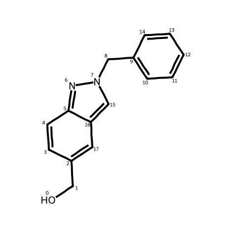 OCc1ccc2nn(Cc3ccccc3)cc2c1